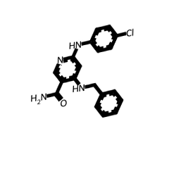 NC(=O)c1cnc(Nc2ccc(Cl)cc2)cc1NCc1ccccc1